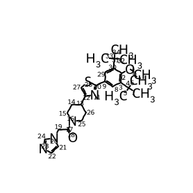 COc1c(C(C)(C)C)cc(-c2nc(C3CCN(C(=O)Cn4ccnc4)CC3)cs2)cc1C(C)(C)C